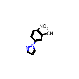 N#Cc1cc(-n2cccn2)ccc1[N+](=O)[O-]